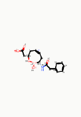 O=C(O)C[C@H]1C/C=C\C[C@H](NC(=O)CC2=CC=CCC2)B(O)O1